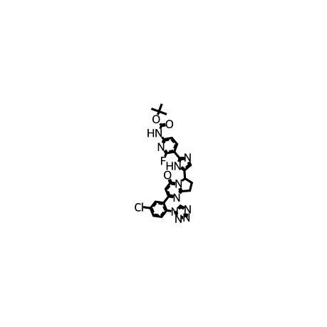 CC(C)(C)OC(=O)Nc1ccc(-c2ncc(C3CCc4nc(-c5cc(Cl)ccc5-n5cnnn5)cc(=O)n43)[nH]2)c(F)n1